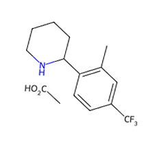 CC(=O)O.Cc1cc(C(F)(F)F)ccc1C1CCCCN1